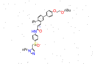 CCCCOCCOc1ccc(-c2ccc(C(C)C)c(/C=C/C(=O)Nc3ccc([S@+]([O-])Cc4cncn4CCC)cc3)c2)cc1